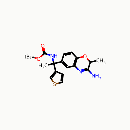 CC1Oc2ccc(C(C)(NC(=O)OC(C)(C)C)c3ccsc3)cc2N=C1N